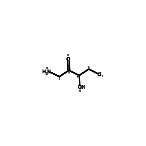 NCC(=O)C(O)CCl